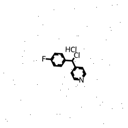 Cl.Fc1ccc(C(Cl)c2ccncc2)cc1